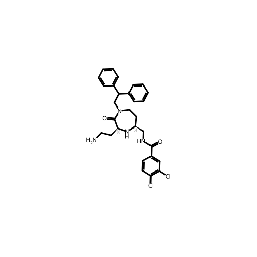 NCC[C@@H]1N[C@H](CNC(=O)c2ccc(Cl)c(Cl)c2)CCN(CC(c2ccccc2)c2ccccc2)C1=O